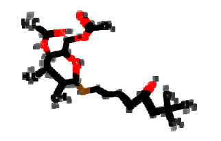 CC(=O)OCC1O[C@@H](SCCCCC(=O)CC(C)(C)C)C(C)[C@@H](C)[C@H]1OC(C)=O